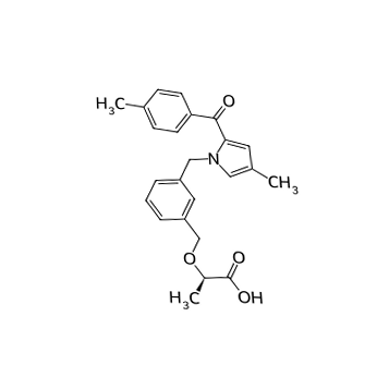 Cc1ccc(C(=O)c2cc(C)cn2Cc2cccc(CO[C@H](C)C(=O)O)c2)cc1